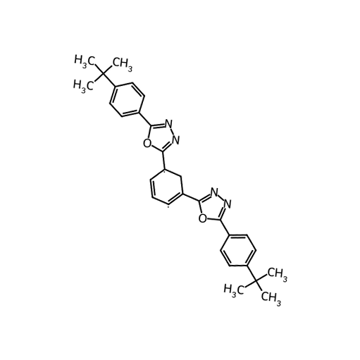 CC(C)(C)c1ccc(-c2nnc([C]3C=C[C]=C(c4nnc(-c5ccc(C(C)(C)C)cc5)o4)C3)o2)cc1